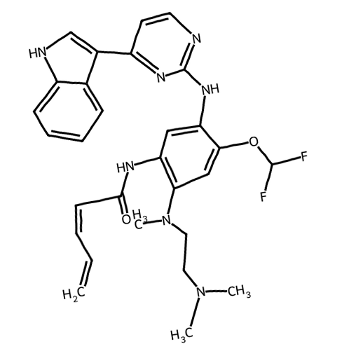 C=C/C=C\C(=O)Nc1cc(Nc2nccc(-c3c[nH]c4ccccc34)n2)c(OC(F)F)cc1N(C)CCN(C)C